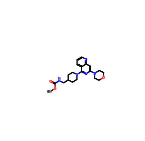 CC(C)(C)OC(=O)NCC1CCN(c2nc(N3CCOCC3)cc3ncccc23)CC1